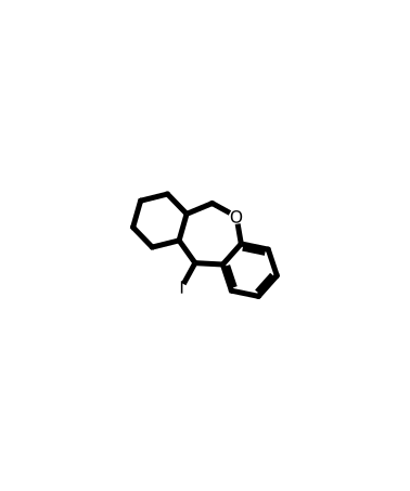 IC1c2ccccc2OCC2CCCCC21